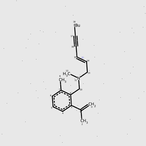 C=C(C)c1cccc(C)c1CN(C)C/C=C/C#CC(C)(C)C